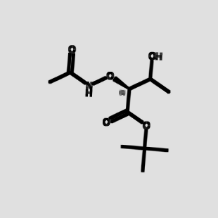 CC(=O)NO[C@H](C(=O)OC(C)(C)C)C(C)O